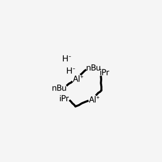 CC(C)[CH2][Al+][CH2]C(C)C.CCC[CH2][Al+][CH2]CCC.[H-].[H-]